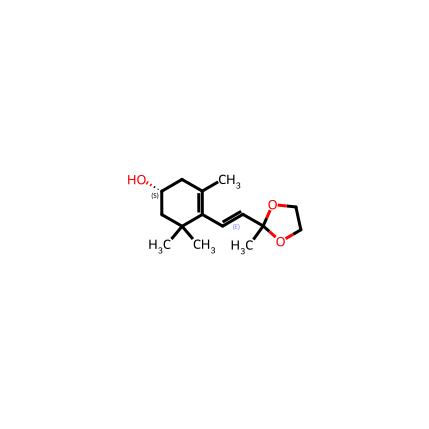 CC1=C(/C=C/C2(C)OCCO2)C(C)(C)C[C@H](O)C1